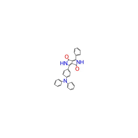 O=C1NC(c2ccc(N(c3ccccc3)c3ccccc3)cc2)=C2C(=O)NC(c3ccccc3)=C12